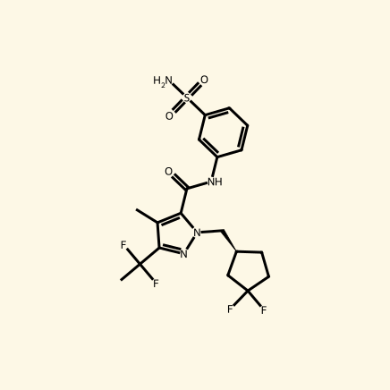 Cc1c(C(C)(F)F)nn(C[C@H]2CCC(F)(F)C2)c1C(=O)Nc1cccc(S(N)(=O)=O)c1